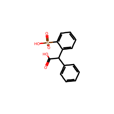 O=C(O)C(c1ccccc1)c1ccccc1S(=O)(=O)O